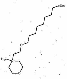 CCCCCCCCCCCCCCCCCCOCC[N+]1(C)CCOCC1.[I-]